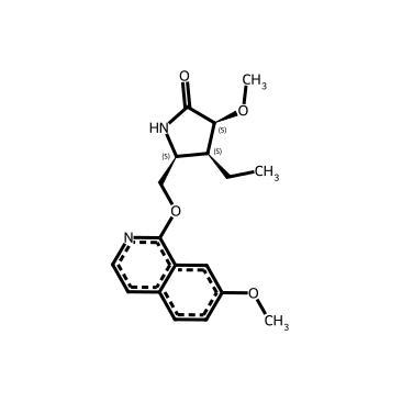 CC[C@@H]1[C@H](OC)C(=O)N[C@@H]1COc1nccc2ccc(OC)cc12